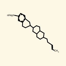 CC=CCCC1CCC2CC(C3CCc4cc(CCCCCCC)ccc4C3)CCC2C1